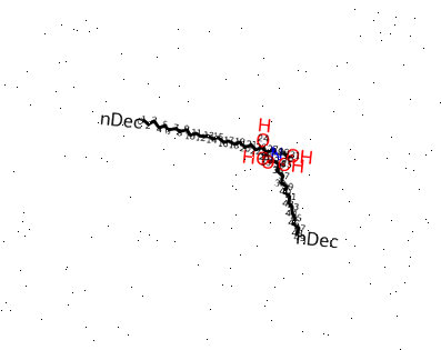 CCCCCCCCCCCCCCCCCCCCCCCCCCCCCCCCC(O)C(O)CN(CCO)C(=O)C(O)CCCCCCCCCCCCCCCCCCCCCCC